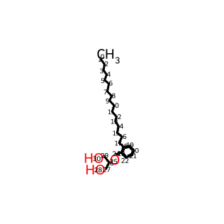 CCCCCCCCCCCCCCCCCCc1ccccc1COC(CO)CO